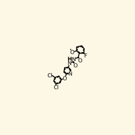 COc1cccc(F)c1C(=O)NC(=O)Nc1ccc(Oc2cc(Cl)cc(Cl)c2)nc1